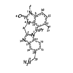 CCCn1c(Cn2c(=O)n(C)c3ccc(F)cc32)nc2cc(CN)ccc21